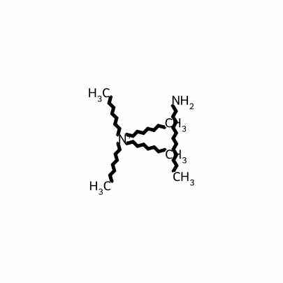 CCCCCCCCCCCCCCN.CCCCCCCCC[N+](CCCCCCCCC)(CCCCCCCCC)CCCCCCCCC